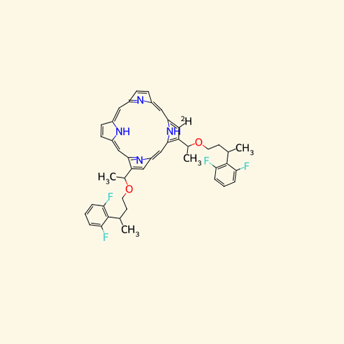 [2H]c1c(C(C)OCCC(C)c2c(F)cccc2F)c2cc3nc(cc4ccc(cc5nc(cc1[nH]2)C=C5)[nH]4)C(C(C)OCCC(C)c1c(F)cccc1F)=C3